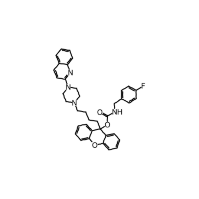 O=C(NCc1ccc(F)cc1)OC1(CCCCN2CCN(c3ccc4ccccc4n3)CC2)c2ccccc2Oc2ccccc21